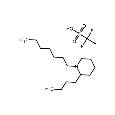 CCCCCCCN1CCCCC1CCCC.O=S(=O)(O)C(F)(F)F